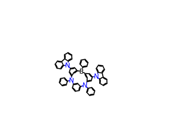 c1ccc(B2c3cc(cc(-n4c5ccccc5c5ccccc54)c3)N(c3ccccc3)c3cccc(c3)N(c3ccccc3)c3cc2cc(-n2c4ccccc4c4ccccc42)c3)cc1